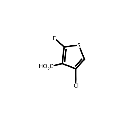 O=C(O)c1c(Cl)csc1F